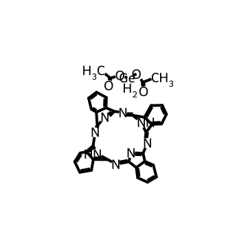 CC(=O)[O][GeH2][O]C(C)=O.c1ccc2c(c1)-c1nc-2nc2[nH]c(nc3nc(nc4[nH]c(n1)c1ccccc41)-c1ccccc1-3)c1ccccc21